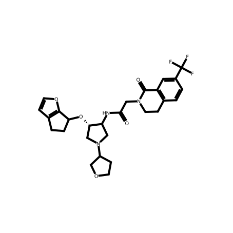 O=C(CN1CCc2ccc(C(F)(F)F)cc2C1=O)NC1CN(C2CCOC2)C[C@@H]1OC1CCc2ccoc21